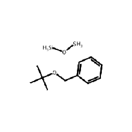 CC(C)(C)OCc1ccccc1.[SiH3]O[SiH3]